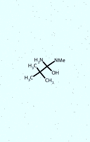 CNC(N)(O)C(C)(C)C